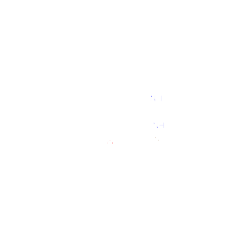 CCCCC(=O)c1cc2c(c(NSCC(C)C)c1)NCCC2